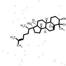 CC(C)=CCC[C@@H](C)[C@]1(O)CC[C@H]2[C@@H]3CC=C4C(C)(C)[C@H](O)CC[C@]4(C)[C@H]3CC[C@@]21C